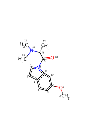 COc1ccc2ccn(C(=O)[C@@H](C)N(C)C)c2c1